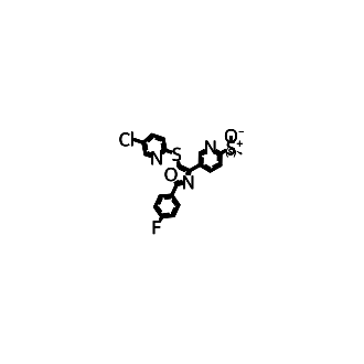 C[S@@+]([O-])c1ccc(-c2nc(-c3ccc(F)cc3)oc2Sc2ccc(Cl)cn2)cn1